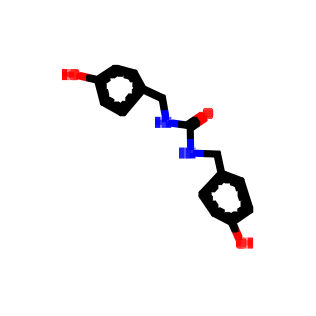 O=C(NCc1ccc(O)cc1)NCc1ccc(O)cc1